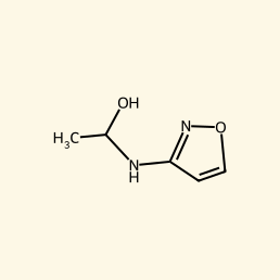 CC(O)Nc1ccon1